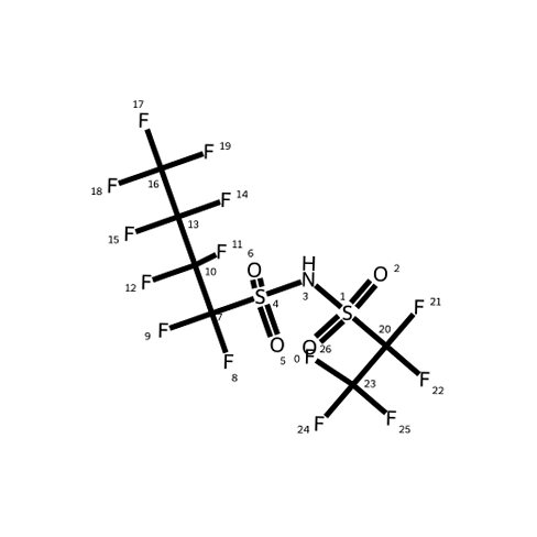 O=S(=O)(NS(=O)(=O)C(F)(F)C(F)(F)C(F)(F)C(F)(F)F)C(F)(F)C(F)(F)F